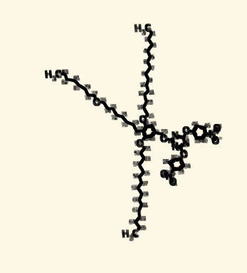 CCCCCCCCCCCCCCCCOc1cc(COc2nc(Oc3ccc([N+](=O)[O-])cc3)nc(Oc3ccc([N+](=O)[O-])cc3)n2)cc(OCCCCCCCCCCCCCCCC)c1CCCCCCCCOCCCCCCCC